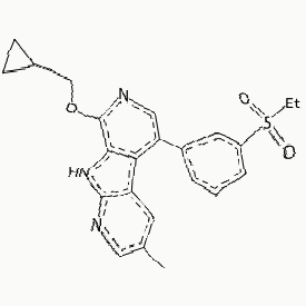 CCS(=O)(=O)c1cccc(-c2cnc(OCC3CC3)c3[nH]c4ncc(C)cc4c23)c1